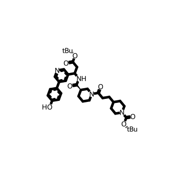 CC(C)(C)OC(=O)CC(NC(=O)[C@@H]1CCCN(C(=O)CCC2CCN(C(=O)OC(C)(C)C)CC2)C1)c1cncc(-c2ccc(O)cc2)c1